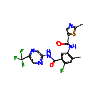 Cc1ncc(C(=O)Nc2cc(C(=O)Nc3cnc(C(F)(F)F)cn3)c(F)cc2C)s1